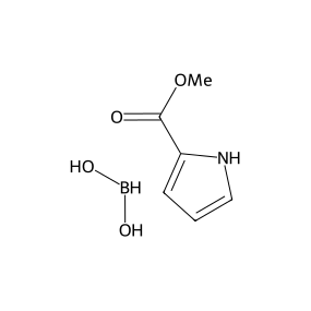 COC(=O)c1ccc[nH]1.OBO